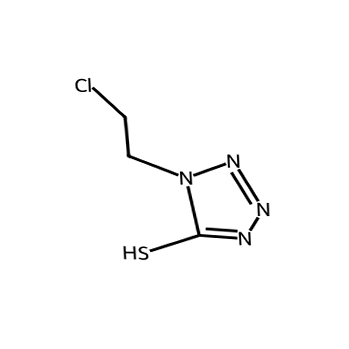 Sc1nnnn1CCCl